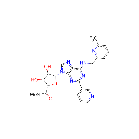 CNC(=O)[C@H]1O[C@@H](n2cnc3c(NCc4cccc(C(F)(F)F)n4)nc(-c4cccnc4)nc32)[C@H](O)[C@@H]1O